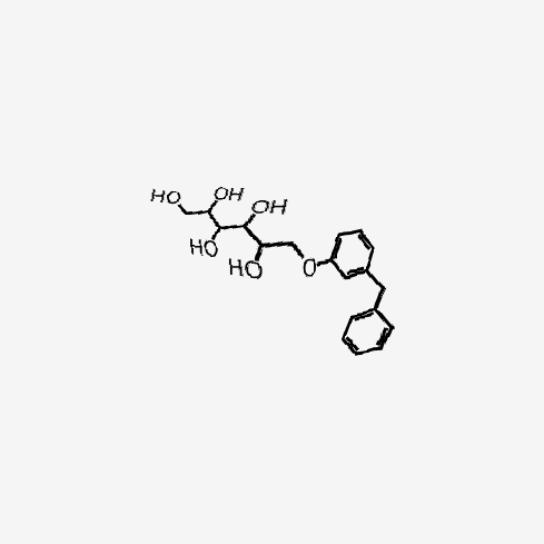 OCC(O)C(O)C(O)C(O)COc1cccc(Cc2ccccc2)c1